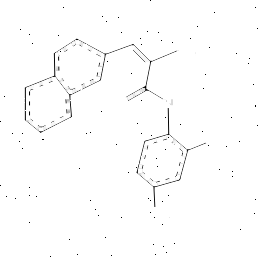 CC(=Cc1ccc2ccccc2c1)C(=O)Nc1ccc(C)cc1C(=O)O